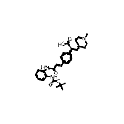 CN1CCC(CC(C(=O)O)c2ccc(C=CC(=O)Nc3ccccc3NC(=O)OC(C)(C)C)cc2)CC1